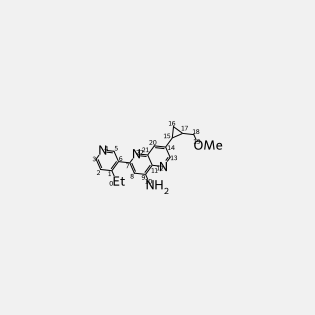 CCc1ccncc1-c1cc(N)c2ncc(C3CC3COC)cc2n1